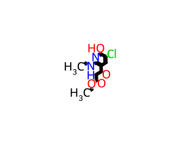 CCNc1nc(O)c(Cl)cc1C(=O)CC(=O)OCC